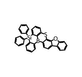 c1ccc([Si]2(c3ccccc3)c3ccccc3B3c4ccc5c(oc6ccccc65)c4Sc4cccc2c43)cc1